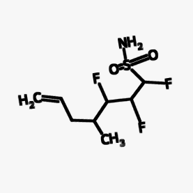 C=CCC(C)C(F)C(F)C(F)S(N)(=O)=O